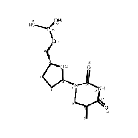 CC1CN([C@H]2CC[C@@H](COP(O)S)O2)C(=O)NC1=O